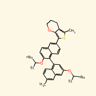 CCCCC(CC)Oc1cc(-c2c(OC(CC)CCCC)ccc3cc(-c4sc(C)c5c4OCCC5)ccc23)c2ccc(C)cc2c1